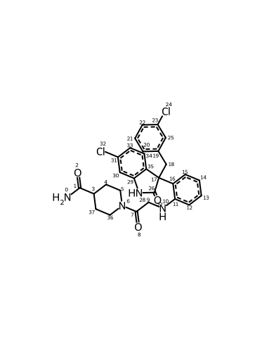 NC(=O)C1CCN(C(=O)CNc2ccccc2C2(Cc3cccc(Cl)c3)C(=O)Nc3cc(Cl)ccc32)CC1